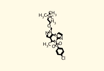 CC1c2cnn(COCC[Si](C)(C)C)c2-n2ccnc2N1S(=O)(=O)c1ccc(Cl)cc1